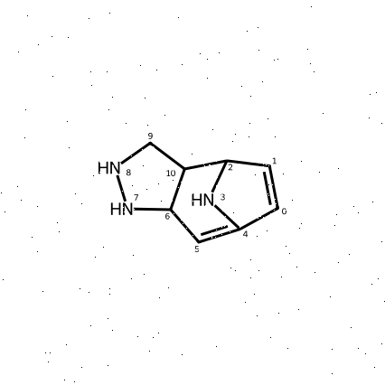 C1=CC2NC1=CC1NNCC12